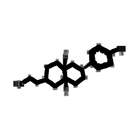 CCCC1CC[C@@H]2C[C@H](c3ccc(O)cc3)CC[C@@H]2C1